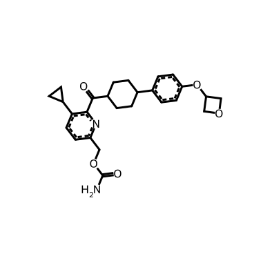 NC(=O)OCc1ccc(C2CC2)c(C(=O)C2CCC(c3ccc(OC4COC4)cc3)CC2)n1